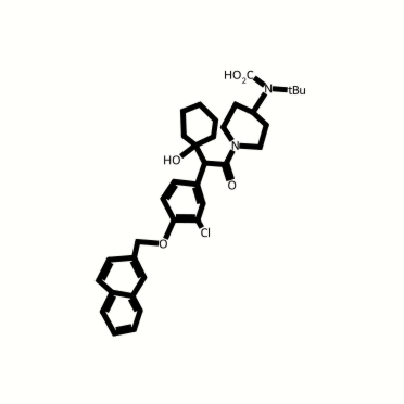 CC(C)(C)N(C(=O)O)C1CCN(C(=O)C(c2ccc(OCc3ccc4ccccc4c3)c(Cl)c2)C2(O)CCCCC2)CC1